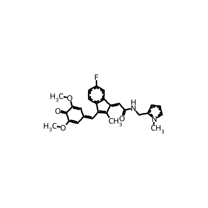 COC1=CC(=CC2=C(C)C(=CC(=O)NCc3cccn3C)c3cc(F)ccc32)C=C(OC)C1=O